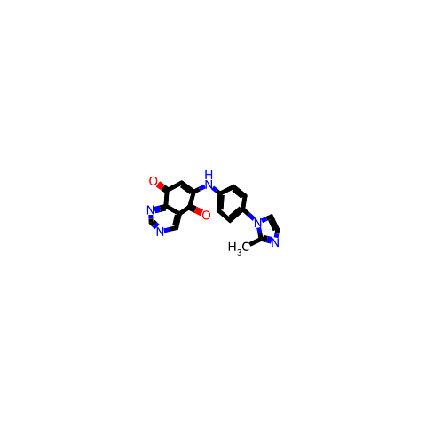 Cc1nccn1-c1ccc(NC2=CC(=O)c3ncncc3C2=O)cc1